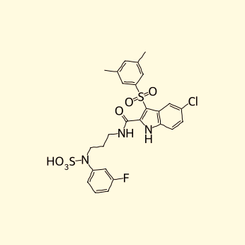 Cc1cc(C)cc(S(=O)(=O)c2c(C(=O)NCCCN(c3cccc(F)c3)S(=O)(=O)O)[nH]c3ccc(Cl)cc23)c1